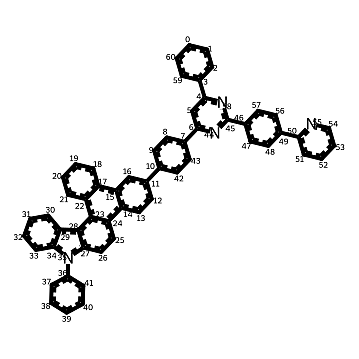 c1ccc(-c2cc(-c3ccc(-c4ccc5c(c4)c4ccccc4c4c5ccc5c4c4ccccc4n5-c4ccccc4)cc3)nc(-c3ccc(-c4ccccn4)cc3)n2)cc1